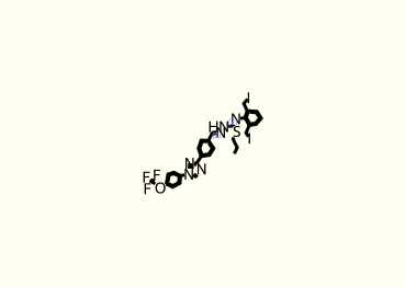 CCCS/C(=N\c1c(CI)cccc1CI)N/N=C/c1ccc(-c2ncn(-c3ccc(OC(F)(F)F)cc3)n2)cc1